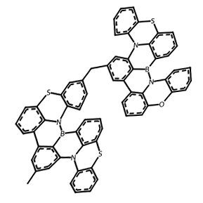 Cc1cc2c3c(c1)N1c4ccccc4Sc4cccc(c41)B3N1c3ccc(Cc4cc5c6c(c4)N4c7ccccc7Sc7cccc(c74)B6N4c6ccccc6Oc6cccc-5c64)cc3Sc3cccc-2c31